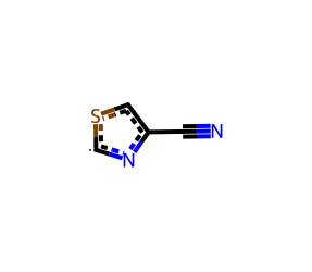 N#Cc1cs[c]n1